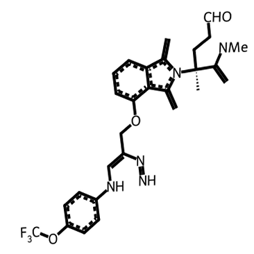 C=C(NC)[C@](C)(CCC=O)n1c(=C)c2cccc(OC/C(=C/Nc3ccc(OC(F)(F)F)cc3)N=N)c2c1=C